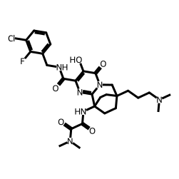 CN(C)CCCC12CCC(NC(=O)C(=O)N(C)C)(CC1)c1nc(C(=O)NCc3cccc(Cl)c3F)c(O)c(=O)n1C2